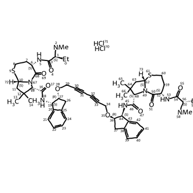 CC[C@H](NC)C(=O)N[C@H]1CCS[C@H]2CC(C)(C)[C@@H](C(=O)N[C@H]3c4ccccc4C[C@H]3OCC#CC#CCO[C@@H]3Cc4ccccc4[C@@H]3NC(=O)[C@H]3N4C(=O)[C@@H](NC(=O)[C@H](CC)NC)CCS[C@H]4CC3(C)C)N2C1=O.Cl.Cl